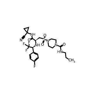 CCCNC(=O)N1CCN(S(=O)(=O)C[C@@H](N[C@@H](c2ccc(F)cc2)C(F)(F)F)C(=O)NC2(C#N)CC2)CC1